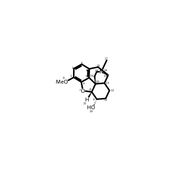 COc1ccc2c3c1O[C@H]1[C@@H](O)CCC4C(C2)N(C)CC[C@@]341